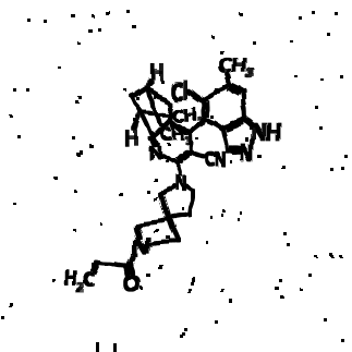 C=CC(=O)N1CC2(CCN(c3nc4c(c(-c5c(Cl)c(C)cc6[nH]ncc56)c3C#N)C[C@H]3C[C@@H]4C3(C)C)C2)C1